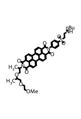 CCCCNCCS(=O)(=O)c1ccc(N2C(=O)c3ccc4c5ccc6c7c(ccc(c8ccc(c3c48)C2=O)c75)C(=O)N(C(C)COC(C)COCCOC)C6=O)cc1